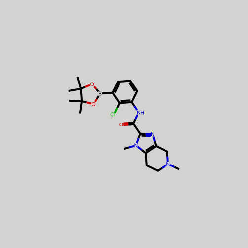 CN1CCc2c(nc(C(=O)Nc3cccc(B4OC(C)(C)C(C)(C)O4)c3Cl)n2C)C1